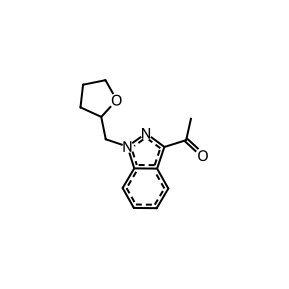 CC(=O)c1nn(CC2CCCO2)c2ccccc12